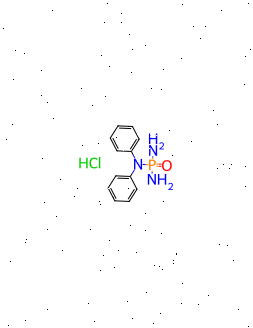 Cl.NP(N)(=O)N(c1ccccc1)c1ccccc1